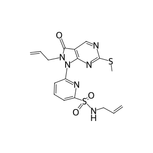 C=CCNS(=O)(=O)c1cccc(-n2c3nc(SC)ncc3c(=O)n2CC=C)n1